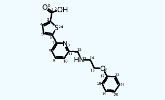 O=C(O)c1ccc(-c2cccc(CNCCOc3ccccc3)n2)s1